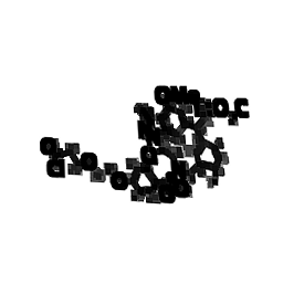 CCOC(=O)CC(c1ccc(C)c(CN2C[C@@H](C)Oc3cc(OCCOCCC(=O)Cl)ccc3S2(=O)=O)c1)c1cc(OC)c2c(c1)nnn2C